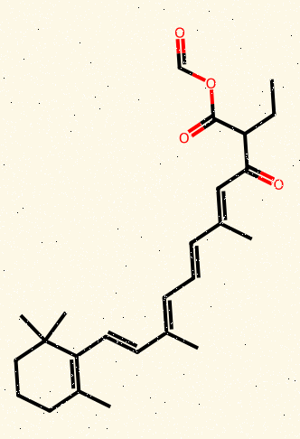 CCC(C(=O)/C=C(\C)C=CC=C(C)C=CC1=C(C)CCCC1(C)C)C(=O)OC=O